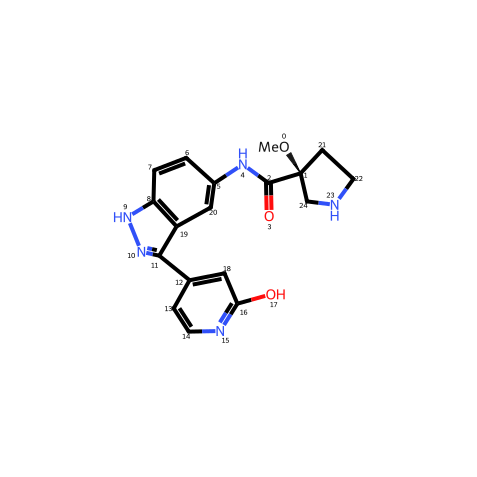 CO[C@@]1(C(=O)Nc2ccc3[nH]nc(-c4ccnc(O)c4)c3c2)CCNC1